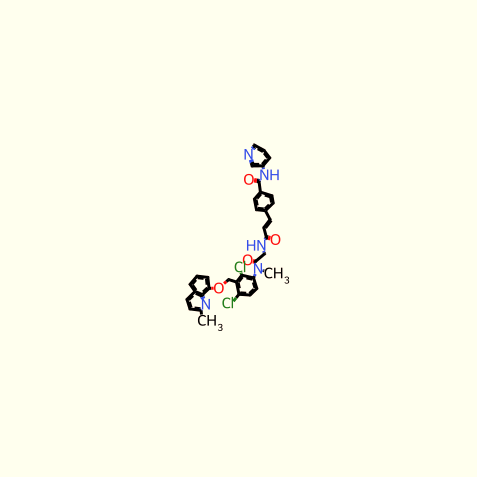 Cc1ccc2cccc(OCc3c(Cl)ccc(N(C)C(=O)CNC(=O)C=Cc4ccc(C(=O)Nc5cccnc5)cc4)c3Cl)c2n1